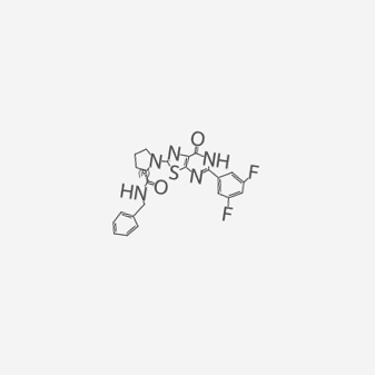 O=C(NCc1ccccc1)[C@H]1CCCN1c1nc2c(=O)[nH]c(-c3cc(F)cc(F)c3)nc2s1